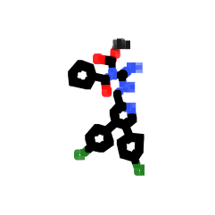 CC(C)(C)OC(=O)N(C(=N)NCc1cc(-c2ccc(Cl)cc2)c(-c2ccc(Cl)cc2)cn1)C(=O)c1ccccc1